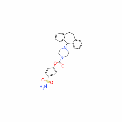 NS(=O)(=O)c1ccc(OC(=O)N2CCN(C3c4ccccc4CCc4ccccc43)CC2)cc1